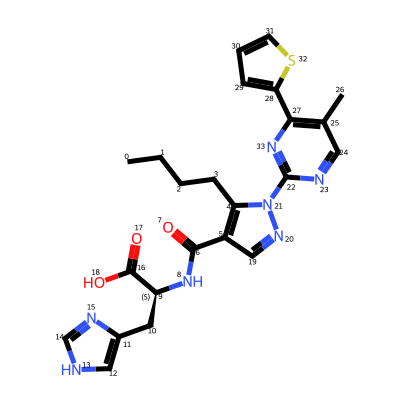 CCCCc1c(C(=O)N[C@@H](Cc2c[nH]cn2)C(=O)O)cnn1-c1ncc(C)c(-c2cccs2)n1